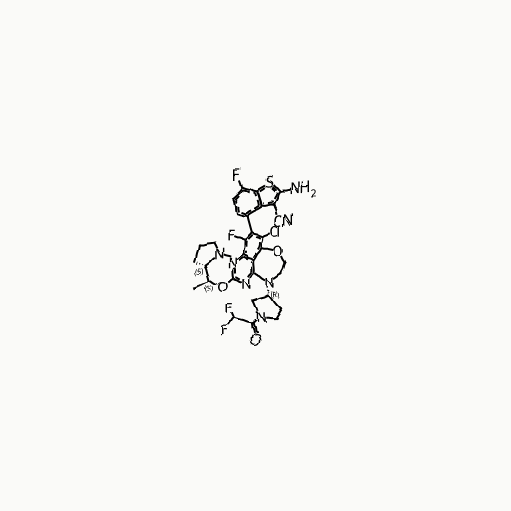 C[C@H](Oc1nc2c3c(c(Cl)c(-c4ccc(F)c5sc(N)c(C#N)c45)c(F)c3n1)OCCN2[C@@H]1CCN(C(=O)C(F)F)C1)[C@@H]1CCCN1C